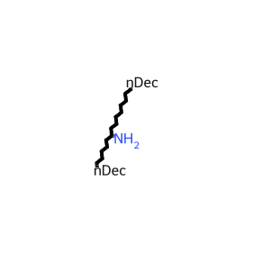 CCCCCCCCCCCCCCCCCCC(N)CCCCCCCCCCCCCCC